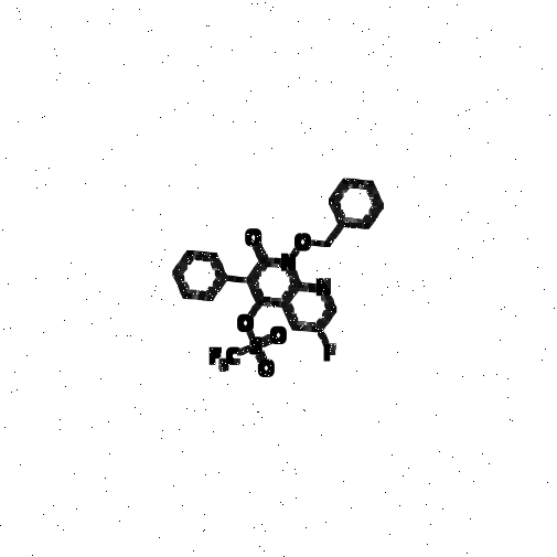 O=c1c(-c2ccccc2)c(OS(=O)(=O)C(F)(F)F)c2cc(F)cnc2n1OCc1ccccc1